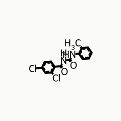 Cc1ccccc1NC(=O)NC(=O)c1ccc(Cl)cc1Cl